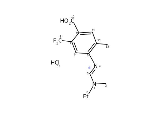 CCN(C)/C=N/c1cc(C(F)(F)F)c(C(=O)O)cc1C.Cl